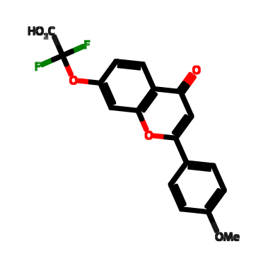 COc1ccc(-c2cc(=O)c3ccc(OC(F)(F)C(=O)O)cc3o2)cc1